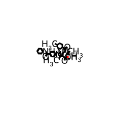 CCc1c(C(=O)O)c(N(C(=O)C2CCC(C)CC2)C(C)C)nn1-c1ccc(C(=O)Nc2ccccc2)cc1